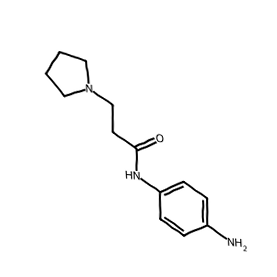 Nc1ccc(NC(=O)CCN2CCCC2)cc1